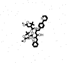 COC(=O)CC(C(=O)NC(Cc1ccc(-c2ccccn2)cc1)CC(O)C(Cc1ccccc1)NC(=O)N(NC(=O)OC)C(C)(C)C)C(C)(C)C